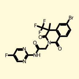 CC1(C(F)(F)F)C(=O)N(CC(=O)Nc2ncc(F)cn2)C(=O)c2ccc(Br)cc21